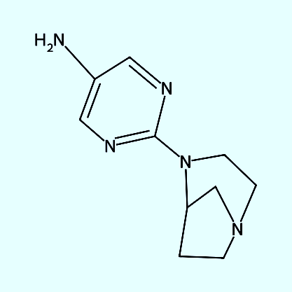 Nc1cnc(N2CCN3CCC2C3)nc1